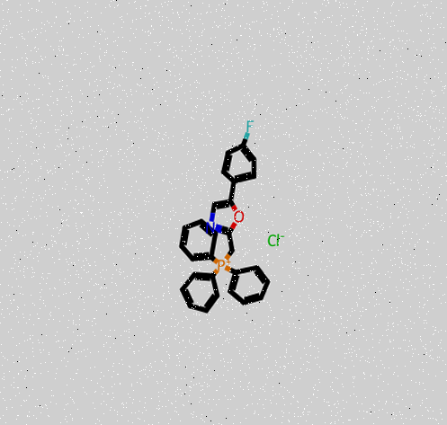 Fc1ccc(-c2cnc(C[P+](c3ccccc3)(c3ccccc3)c3ccccc3)o2)cc1.[Cl-]